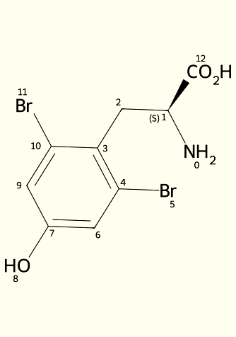 N[C@@H](Cc1c(Br)cc(O)cc1Br)C(=O)O